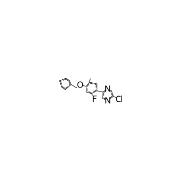 Cc1cc(-c2cnc(Cl)cn2)c(F)cc1OCc1ccccc1